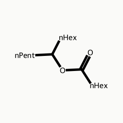 CCCCCCC(=O)OC(CCCCC)CCCCCC